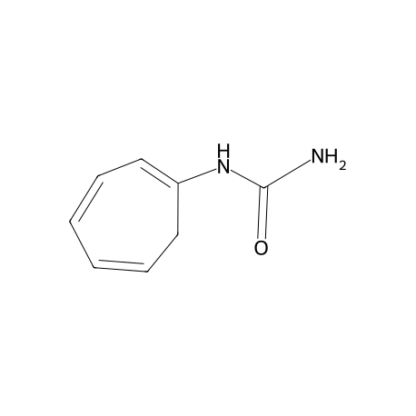 NC(=O)NC1=CC=CC=CC1